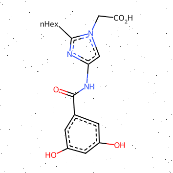 CCCCCCc1nc(NC(=O)c2cc(O)cc(O)c2)cn1CC(=O)O